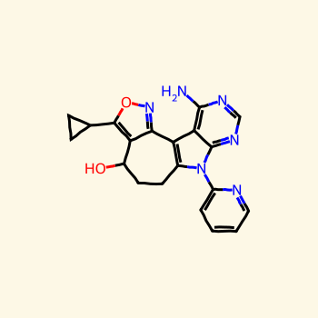 Nc1ncnc2c1c1c(n2-c2ccccn2)CCC(O)c2c-1noc2C1CC1